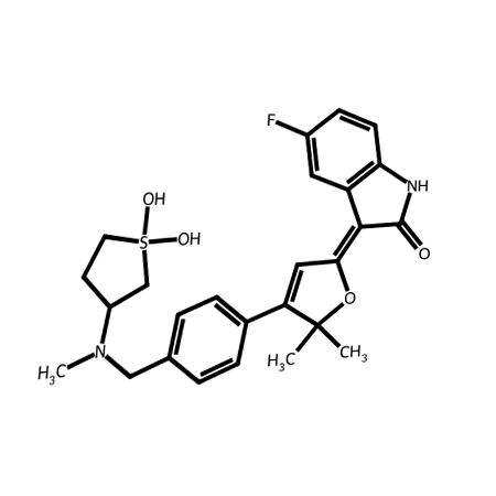 CN(Cc1ccc(C2=CC(=C3C(=O)Nc4ccc(F)cc43)OC2(C)C)cc1)C1CCS(O)(O)C1